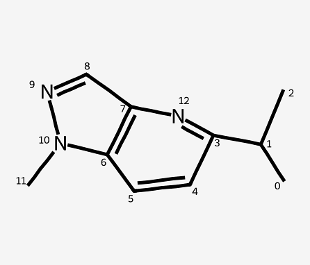 CC(C)c1ccc2c(cnn2C)n1